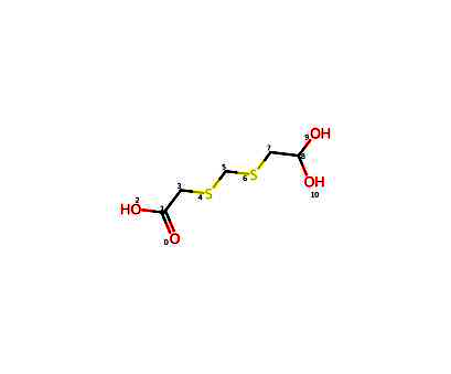 O=C(O)CSCSCC(O)O